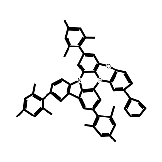 Cc1cc(C)c(-c2cc3c4c(c2)-n2c5ccc(-c6c(C)cc(C)cc6C)cc5c5cc(-c6c(C)cc(C)cc6C)cc(c52)B4c2cc(-c4ccccc4)ccc2O3)c(C)c1